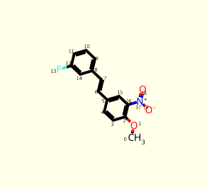 COc1ccc(C=Cc2cccc(F)c2)cc1[N+](=O)[O-]